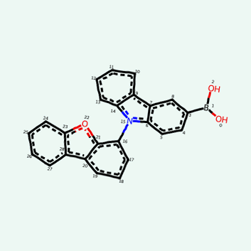 OB(O)c1ccc2c(c1)c1ccccc1n2-c1cccc2c1oc1ccccc12